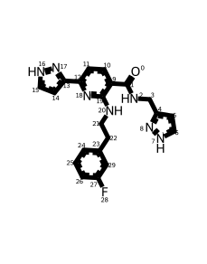 O=C(NCc1cc[nH]n1)c1ccc(-c2cc[nH]n2)nc1NCCc1cccc(F)c1